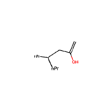 C=C(O)CC(CCC)CCC